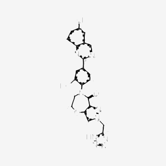 Cc1cc(-c2ncc3cc(C(F)(F)F)ccc3n2)ccc1N1CCOc2cn(Cc3nnn[nH]3)nc2C1=O